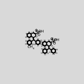 C.O=S(=O)(O)C1=Cc2ccccc2C(=C(c2ccccc2)c2ccccc2)C1.O=S(=O)(O)C1=Cc2ccccc2C(=C(c2ccccc2)c2ccccc2)C1